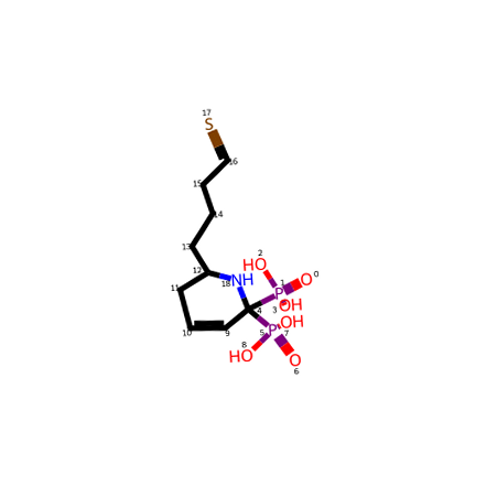 O=P(O)(O)C1(P(=O)(O)O)C=CCC(CCCC=S)N1